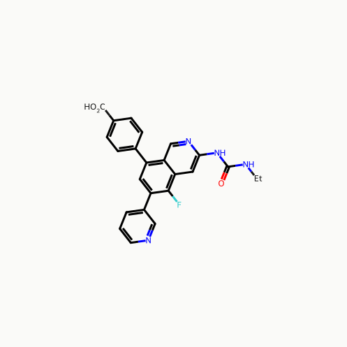 CCNC(=O)Nc1cc2c(F)c(-c3cccnc3)cc(-c3ccc(C(=O)O)cc3)c2cn1